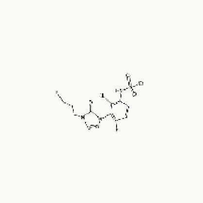 CCS(=O)(=O)Nc1ccc(F)c(-n2nnn(CCCF)c2=O)c1Cl